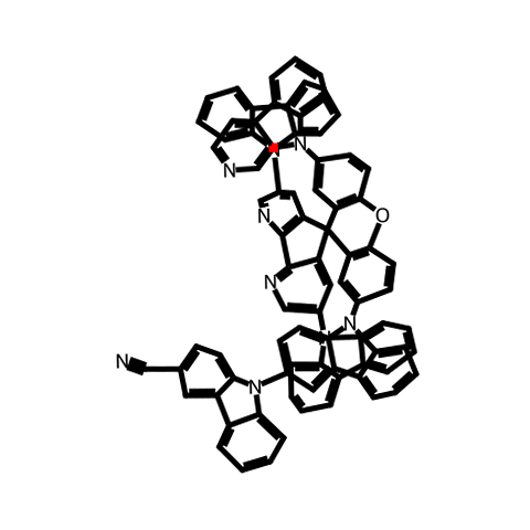 N#Cc1ccc2c(c1)c1ccccc1n2-c1ccc2c(c1)c1ccccc1n2-c1ccc2c(c1)C1(c3cc(-n4c5ccccc5c5ccncc54)ccc3O2)c2cc(-n3c4ccccc4c4ccccc43)cnc2-c2ncc(-n3c4ccccc4c4ccccc43)cc21